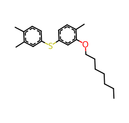 CCCCCCCOc1cc(Sc2ccc(C)c(C)c2)ccc1C